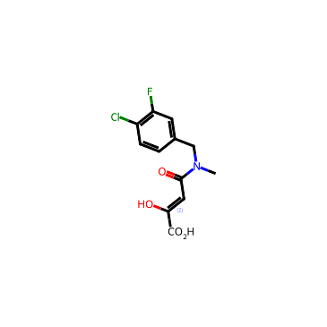 CN(Cc1ccc(Cl)c(F)c1)C(=O)/C=C(\O)C(=O)O